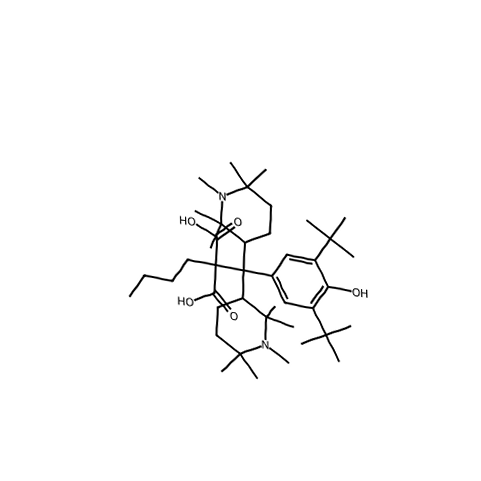 CCCCC(C(=O)O)(C(=O)O)C(c1cc(C(C)(C)C)c(O)c(C(C)(C)C)c1)(C1CCC(C)(C)N(C)C1(C)C)C1CCC(C)(C)N(C)C1(C)C